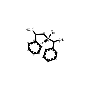 CC(c1ccccc1)P(=O)(O)CC(C(=O)O)c1ccccc1